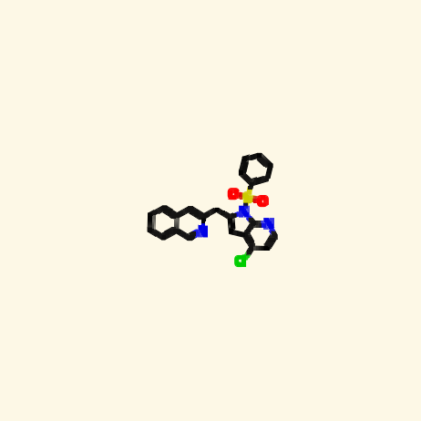 O=S(=O)(c1ccccc1)n1c(Cc2cc3ccccc3cn2)cc2c(Cl)ccnc21